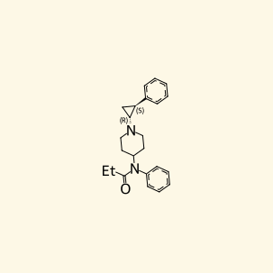 CCC(=O)N(c1ccccc1)C1CCN([C@@H]2C[C@H]2c2ccccc2)CC1